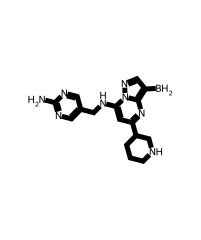 Bc1cnn2c(NCc3cnc(N)nc3)cc(C3CCCNC3)nc12